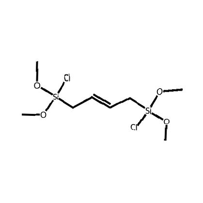 CO[Si](Cl)(C/C=C/C[Si](Cl)(OC)OC)OC